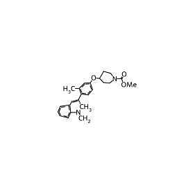 C=Nc1ccccc1/C=C(\C)c1ccc(OC2CCN(C(=O)OC)CC2)cc1C